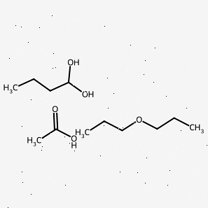 CC(=O)O.CCCC(O)O.CCCOCCC